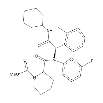 COC(=O)N1CCCCC1C(=O)N(c1cccc(F)c1)[C@@H](C(=O)NC1CCCCC1)c1ccccc1C